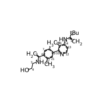 C=C(NCCO)c1ccc(-c2nccc(NC(=C)C(C)(C)C)c2C)cc1C